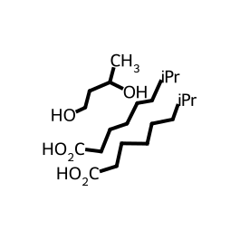 CC(C)CCCCCC(=O)O.CC(C)CCCCCC(=O)O.CC(O)CCO